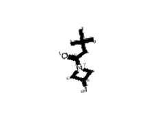 CC(C)(C)CC(=O)N1CC(I)C1